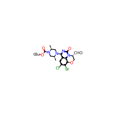 C[C@H]1CN(c2nc(=O)n3c4c(c(Br)c(Cl)cc24)OC[C@H]3C=O)[C@@H](C)CN1C(=O)OC(C)(C)C